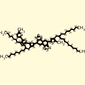 CCCCCCCCCCC(CCCCCCCC)Cc1cc(-c2cc3c(cc(-c4cc(CC(CCCCCCCC)CCCCCCCCCC)c(-c5ccc(-c6ccc(C)s6)s5)s4)c4nsnc43)c3nsnc23)sc1C